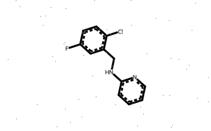 Fc1ccc(Cl)c(CNc2ccccn2)c1